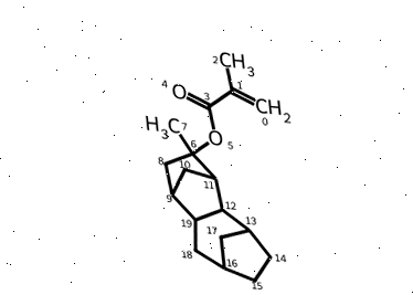 C=C(C)C(=O)OC1(C)CC2CC1C1C3CCC(C3)CC21